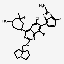 N#CN1CCN(c2nc(OCC34CCCN3CCC4)nc3c(F)c(-c4ccc(F)c5sc(N)nc45)c(Cl)cc23)CC(F)(F)C1